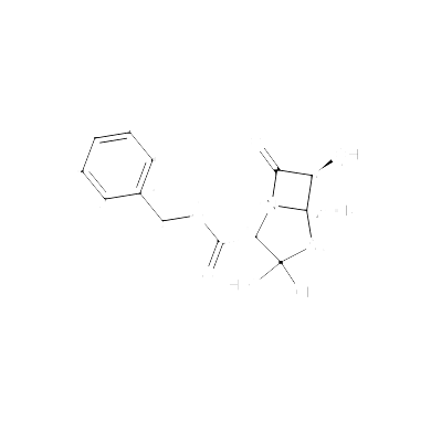 CC1(C)S[C@@H]2[C@H](O)C(=O)N2[C@H]1C(=O)OCc1ccccc1